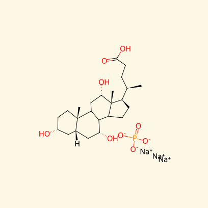 C[C@H](CCC(=O)O)[C@H]1CCC2C3C(C[C@H](O)[C@@]21C)[C@@]1(C)CC[C@@H](O)C[C@H]1C[C@H]3O.O=P([O-])([O-])[O-].[Na+].[Na+].[Na+]